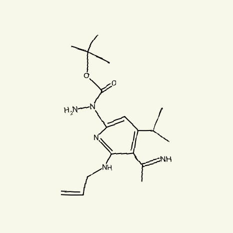 C=CCNc1nc(N(N)C(=O)OC(C)(C)C)cc(C(C)C)c1C(C)=N